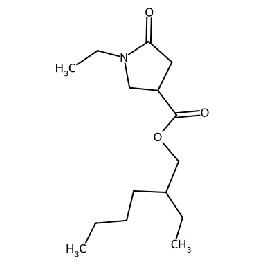 CCCCC(CC)COC(=O)C1CC(=O)N(CC)C1